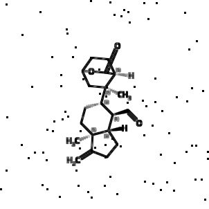 C=C1CC[C@H]2[C@H](C=O)[C@@H]([C@@]3(C)CC4CC[C@@H]3C(=O)O4)CC[C@]12C